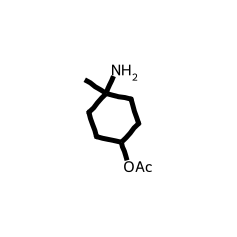 CC(=O)OC1CCC(C)(N)CC1